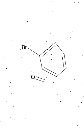 Brc1ccccc1.C=O